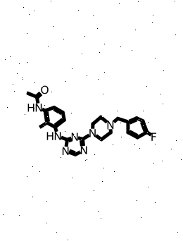 CC(=O)Nc1cccc(Nc2ncnc(N3CCN(Cc4ccc(F)cc4)CC3)n2)c1C